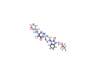 CC(C)(C)[Si](C)(C)OCCn1c(=O)n([C@H]2CC[C@@H](n3ncc(NCC4CCCOC4)c(Cl)c3=O)CC2)c2ccccc21